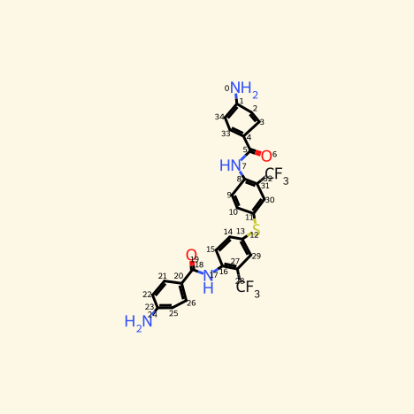 Nc1ccc(C(=O)Nc2ccc(Sc3ccc(NC(=O)c4ccc(N)cc4)c(C(F)(F)F)c3)cc2C(F)(F)F)cc1